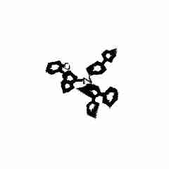 c1ccc(-c2ccc(N(c3ccc(-c4ccccc4)c(-c4ccccc4)c3)c3cc4oc5ccccc5c4c4ccccc34)cc2)cc1